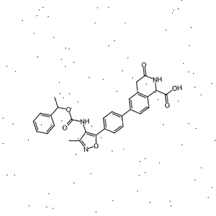 Cc1noc(-c2ccc(-c3ccc4c(c3)CC(=O)NC4C(=O)O)cc2)c1NC(=O)OC(C)c1ccccc1